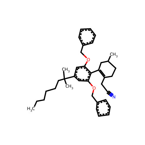 CCCCCCC(C)(C)c1cc(OCc2ccccc2)c(C2=C(CC#N)CCC(C)C2)c(OCc2ccccc2)c1